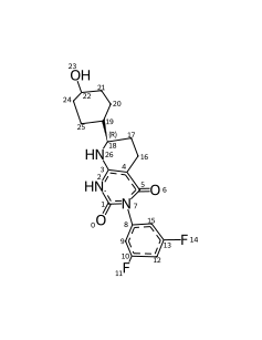 O=c1[nH]c2c(c(=O)n1-c1cc(F)cc(F)c1)CC[C@H](C1CCC(O)CC1)N2